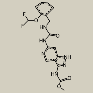 COC(=O)Nc1n[nH]c2cc(NC(=O)NCc3ccccc3OC(F)F)ncc12